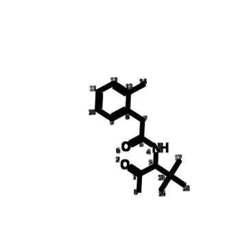 CC(=O)C(NC(=O)Cc1ccccc1C)C(C)(C)C